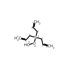 C=CC[Si](CC=C)(CC=C)OO